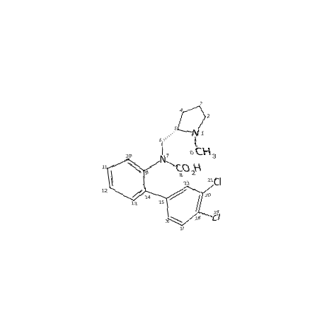 CN1CCC[C@H]1CN(C(=O)O)c1ccccc1-c1ccc(Cl)c(Cl)c1